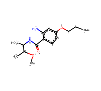 COCCOc1ccc(C(=O)NC(C(=O)O)C(C)OC(C)(C)C)c(N)c1